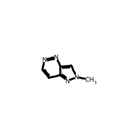 Cn1cc2nnccc2n1